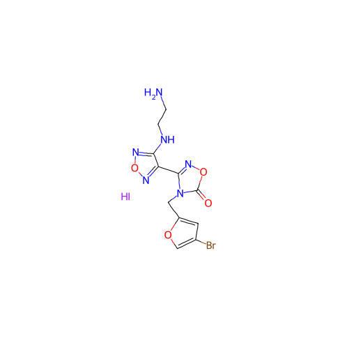 I.NCCNc1nonc1-c1noc(=O)n1Cc1cc(Br)co1